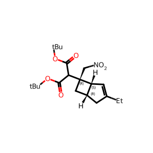 CCC1=C[C@@H]2[C@H](C1)C[C@]2(C[N+](=O)[O-])C(C(=O)OC(C)(C)C)C(=O)OC(C)(C)C